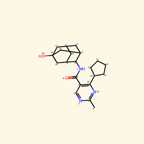 Cc1ncc(C(=O)NC2C3CC4CC2CC(O)(C4)C3)c(C2CCCC2)n1